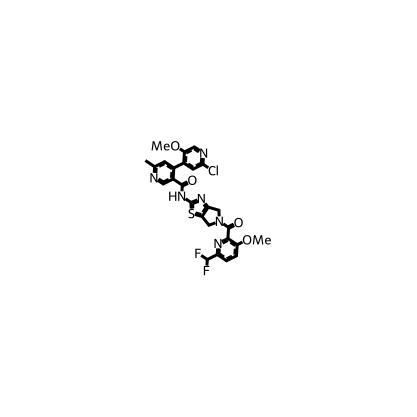 COc1cnc(Cl)cc1-c1cc(C)ncc1C(=O)Nc1nc2c(s1)CN(C(=O)c1nc(C(F)F)ccc1OC)C2